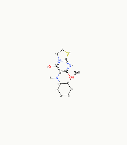 CN(c1c(O)nc2n(c1=O)CCS2)C1CCCCC1.[NaH]